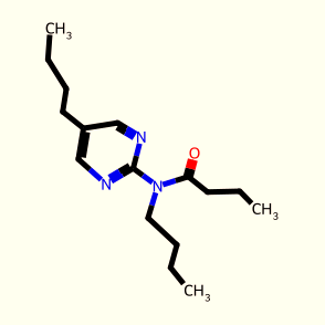 CCCCc1cnc(N(CCCC)C(=O)CCC)nc1